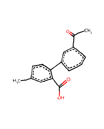 CC(=O)c1cccc(-c2ccc(C)cc2C(=O)O)c1